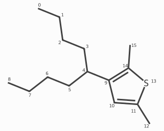 CCCCC(CCCC)c1cc(C)sc1C